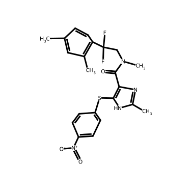 Cc1ccc(C(F)(F)CN(C)C(=O)c2nc(C)[nH]c2Sc2ccc([N+](=O)[O-])cc2)c(C)c1